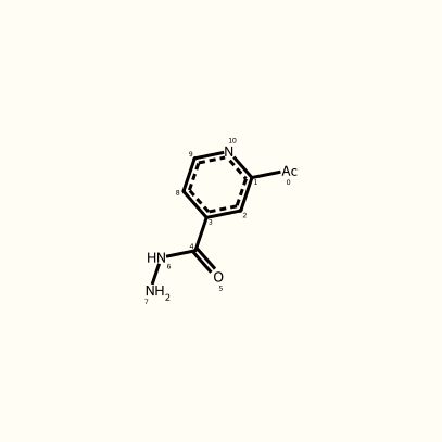 CC(=O)c1cc(C(=O)NN)ccn1